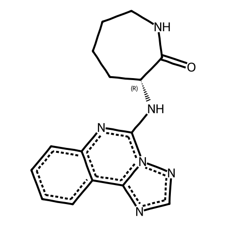 O=C1NCCCC[C@H]1Nc1nc2ccccc2c2ncnn12